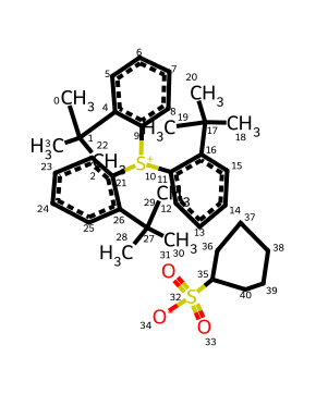 CC(C)(C)c1ccccc1[S+](c1ccccc1C(C)(C)C)c1ccccc1C(C)(C)C.O=S(=O)([O-])C1CCCCC1